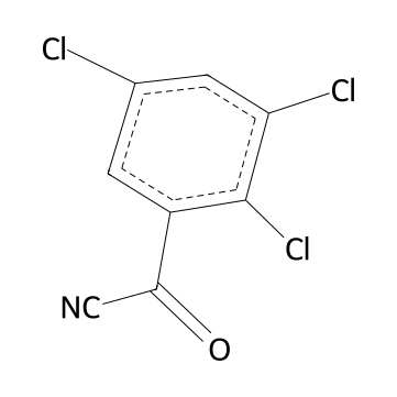 N#CC(=O)c1cc(Cl)cc(Cl)c1Cl